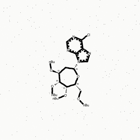 CCCCOC[C@H]1O[C@@H](n2cnc3c(Cl)ncnc32)C[C@H](OCCCC)[C@@H](OCCCC)[C@H]1OCCCC